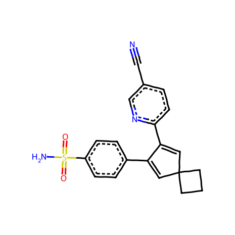 N#Cc1ccc(C2=CC3(C=C2c2ccc(S(N)(=O)=O)cc2)CCC3)nc1